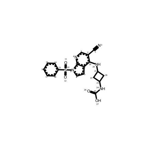 N#Cc1cnc2c(ccn2S(=O)(=O)c2ccccc2)c1NC1CC(NC(=O)O)C1